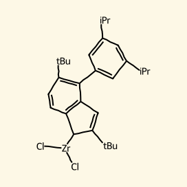 CC(C)c1cc(-c2c(C(C)(C)C)ccc3c2C=C(C(C)(C)C)[CH]3[Zr]([Cl])[Cl])cc(C(C)C)c1